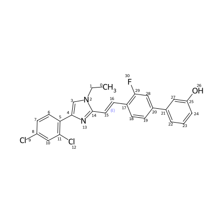 CCn1cc(-c2ccc(Cl)cc2Cl)nc1/C=C/c1ccc(-c2cccc(O)c2)cc1F